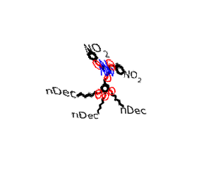 CCCCCCCCCCCCCCCCOc1cc(COc2nc(Oc3ccc([N+](=O)[O-])cc3)nc(Oc3ccc([N+](=O)[O-])cc3)n2)cc(OCCCCCCCCCCCCCCCC)c1OCCCCCCCCCCCCCCCC